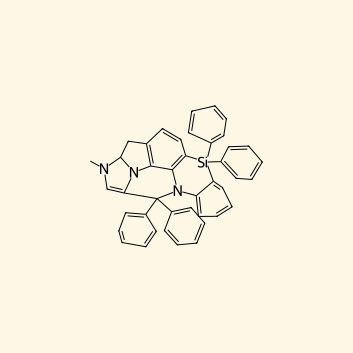 CN1C=C2N3c4c(ccc5c4N(c4ccccc4[Si]5(c4ccccc4)c4ccccc4)C2(c2ccccc2)c2ccccc2)CC13